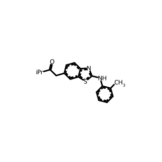 Cc1ccccc1Nc1nc2ccc(CC(=O)C(C)C)cc2s1